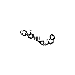 Fc1cc(NCC2C3CN(Cc4ccc5ccccc5n4)CC23)ccc1N1CCOCC1